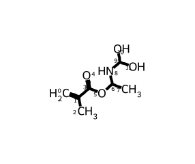 C=C(C)C(=O)OC(C)NC(O)O